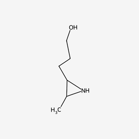 CC1NC1CCCO